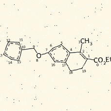 CCOC(=O)C1=C(C)c2ccc(OCc3ccccc3)cc2CC1